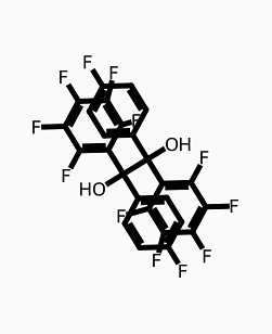 OC(c1ccc(F)cc1)(c1c(F)c(F)c(F)c(F)c1F)C(O)(c1ccc(F)cc1)c1c(F)c(F)c(F)c(F)c1F